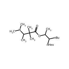 CCCCCCC(CCCC)C(C)OC(=O)C(C)(C)C(C)N(C)C